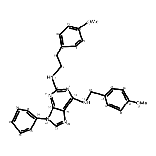 COc1ccc(CCNc2nc(NCc3ccc(OC)cc3)c3ncn(-c4ccccc4)c3n2)cc1